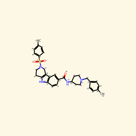 [C-]#[N+]c1ccc(S(=O)(=O)N2CCc3[nH]c4ccc(C(=O)NC5CCN(Cc6ccc(C#N)cc6)CC5)cc4c3C2)cc1